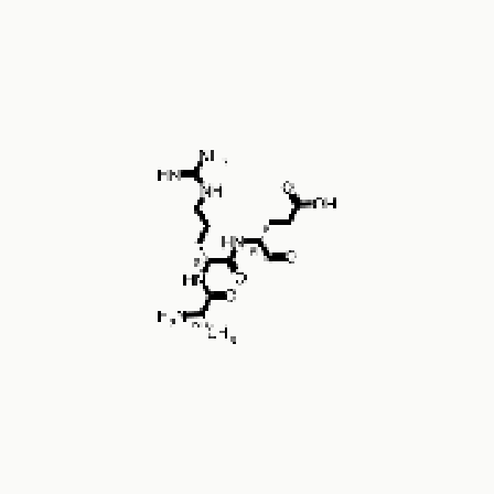 C[C@H](N)C(=O)N[C@H](CCCNC(=N)N)C(=O)N[C@@H]([C]=O)CCC(=O)O